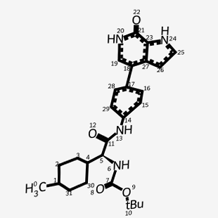 CC1CCC([C@H](NC(=O)OC(C)(C)C)C(=O)Nc2ccc(-c3c[nH]c(=O)c4[nH]ccc34)cc2)CC1